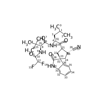 CC(C)C[C@H](NC(=O)[C@@H](NC(=O)C(F)F)C(C)(C)C)C(=O)C1C[C@]2(C[C@H]1C#N)C(=O)Nc1ccccc12